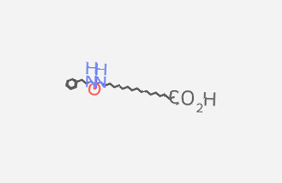 O=C(O)CCCCCCCCCCCCCCCNC(=O)NCCc1ccccc1